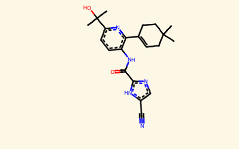 CC1(C)CC=C(c2nc(C(C)(C)O)ccc2NC(=O)c2ncc(C#N)[nH]2)CC1